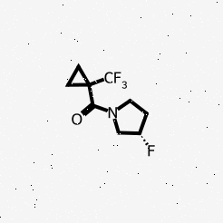 O=C(N1CC[C@H](F)C1)C1(C(F)(F)F)CC1